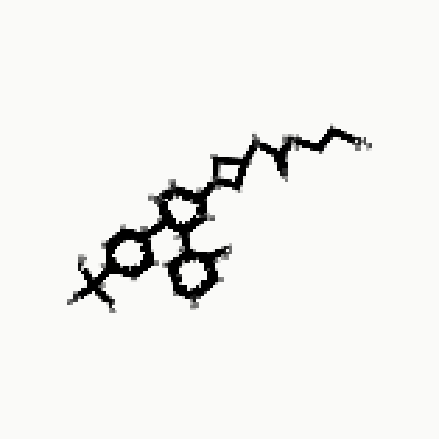 CCCNC(=O)OC1CN(c2nnc(-c3ccc(C(F)(F)F)cc3)c(-c3ccncc3Cl)n2)C1